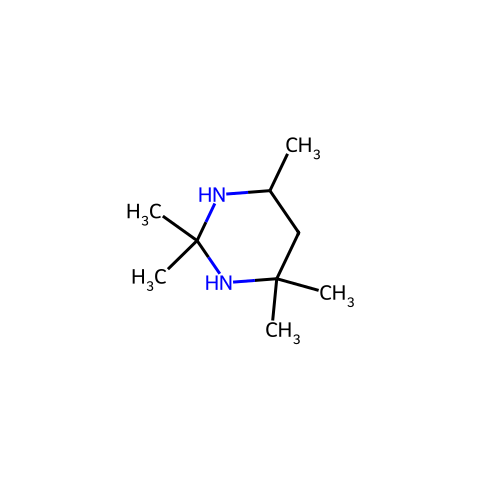 CC1CC(C)(C)NC(C)(C)N1